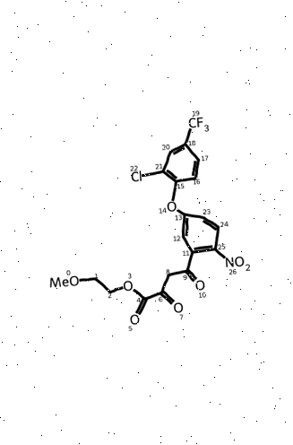 COCCOC(=O)C(=O)CC(=O)c1cc(Oc2ccc(C(F)(F)F)cc2Cl)ccc1[N+](=O)[O-]